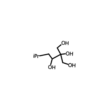 CC(C)CC(O)C(O)(CO)CO